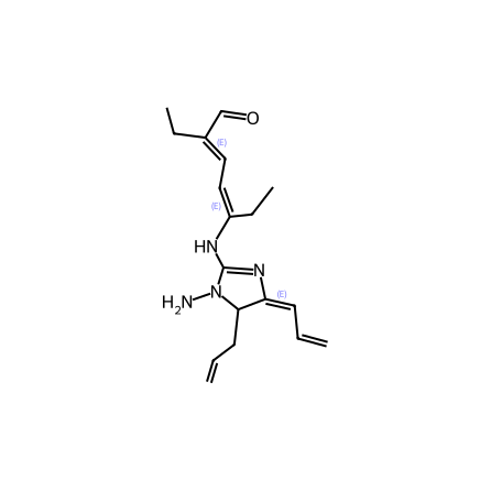 C=C/C=C1/N=C(N/C(=C/C=C(/C=O)CC)CC)N(N)C1CC=C